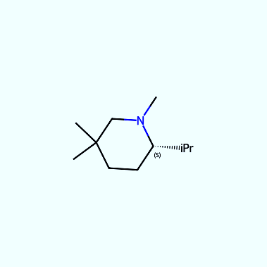 CC(C)[C@@H]1CCC(C)(C)CN1C